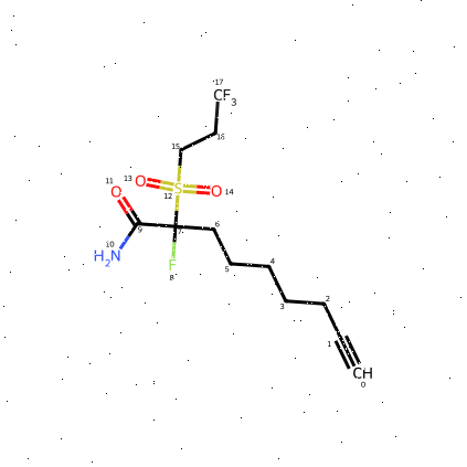 C#CCCCCCC(F)(C(N)=O)S(=O)(=O)CCC(F)(F)F